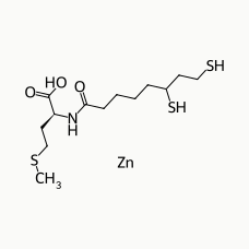 CSCC[C@H](NC(=O)CCCCC(S)CCS)C(=O)O.[Zn]